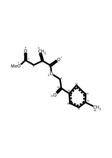 C=C(CC(=O)OC)C(=O)OCC(=O)c1ccc(C)cc1